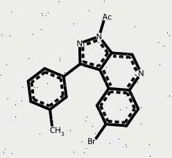 CC(=O)n1nc(-c2cccc(C)c2)c2c3cc(Br)ccc3ncc21